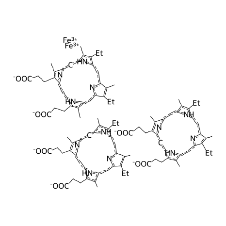 CCC1=C(C)c2cc3[nH]c(cc4nc(cc5[nH]c(cc1n2)c(C)c5CCC(=O)[O-])C(CCC(=O)[O-])=C4C)c(C)c3CC.CCC1=C(C)c2cc3[nH]c(cc4nc(cc5[nH]c(cc1n2)c(C)c5CCC(=O)[O-])C(CCC(=O)[O-])=C4C)c(C)c3CC.CCC1=C(C)c2cc3[nH]c(cc4nc(cc5[nH]c(cc1n2)c(C)c5CCC(=O)[O-])C(CCC(=O)[O-])=C4C)c(C)c3CC.[Fe+3].[Fe+3]